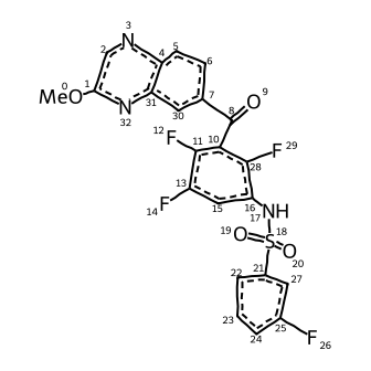 COc1cnc2ccc(C(=O)c3c(F)c(F)cc(NS(=O)(=O)c4cccc(F)c4)c3F)cc2n1